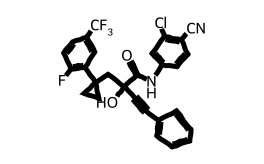 N#Cc1ccc(NC(=O)C(O)(C#Cc2ccccc2)CC2(c3cc(C(F)(F)F)ccc3F)CC2)cc1Cl